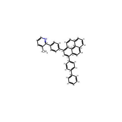 Cc1cccnc1-c1ccc(-c2cc(-c3ccc(-c4ccccc4)cc3)c3ccc4cccc5ccc2c3c45)cc1